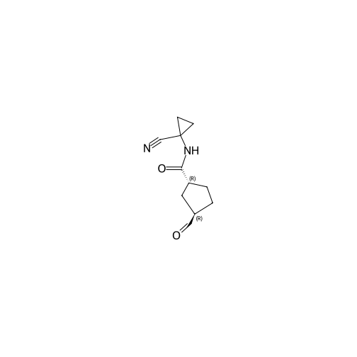 N#CC1(NC(=O)[C@@H]2CC[C@@H](C=O)C2)CC1